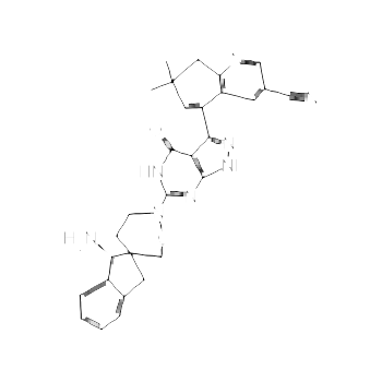 CC1(C)C=C(c2n[nH]c3nc(N4CCC5(CC4)Cc4ccccc4[C@H]5N)[nH]c(=O)c23)c2cc(C#N)cnc2C1